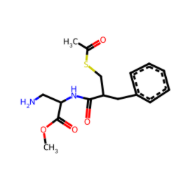 COC(=O)C(CN)NC(=O)C(CSC(C)=O)Cc1ccccc1